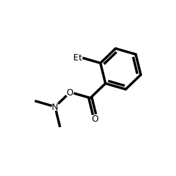 CCc1ccccc1C(=O)ON(C)C